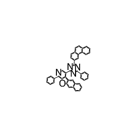 c1ccc(-c2nc(-c3ccc4ccc5ccccc5c4c3)nc(-c3cnc(-c4ccccc4)c4oc5cc6ccccc6cc5c34)n2)cc1